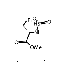 COC(=O)[C@H](CC(C)C)N[SH](=O)=O